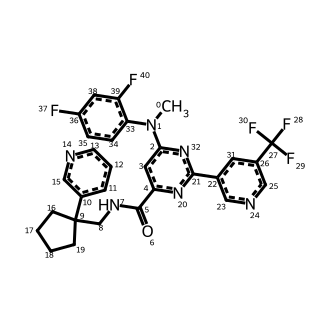 CN(c1cc(C(=O)NCC2(c3cccnc3)CCCC2)nc(-c2cncc(C(F)(F)F)c2)n1)c1ccc(F)cc1F